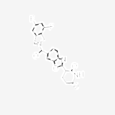 O=C1CCC(c2nc3ccc(C(=O)N4Cc5cc(F)cc(F)c5C4)cc3o2)C(=O)N1